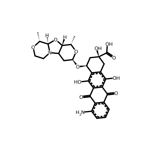 C[C@@H]1O[C@@H](O[C@H]2C[C@](O)(C(=O)O)Cc3c(O)c4c(c(O)c32)C(=O)c2c(N)cccc2C4=O)CC2[C@@H]1O[C@@H]1[C@@H](C)OCCN21